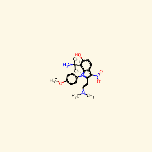 COc1ccc(-n2c(C=CN(C)C)c([N+](=O)[O-])c3ccc(O)c(C(C)(C)N)c32)cc1